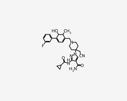 CC1C(CN2CCC(CC#N)(n3cc(C(N)=O)c(NC(=O)C4CC4)n3)CC2)=CC=C(c2cccc(F)c2)C1O